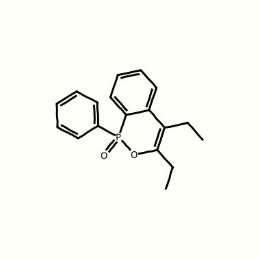 CCC1=C(CC)c2ccccc2P(=O)(c2ccccc2)O1